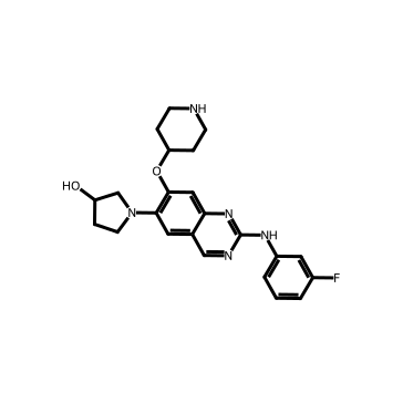 OC1CCN(c2cc3cnc(Nc4cccc(F)c4)nc3cc2OC2CCNCC2)C1